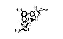 COC(=O)N[C@@H]1CN(c2cc(N)cc(Nc3nc(NC4CC4)c4ncc(N)n4n3)c2Cl)C[C@H]1O